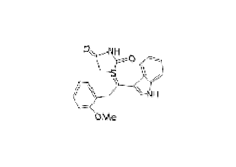 COc1ccccc1CC(c1c[nH]c2ccccc12)=S1CC(=O)NC1=O